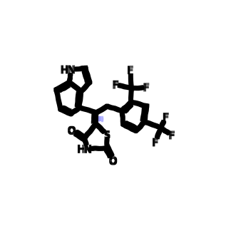 O=C1NC(=O)/C(=C(/Cc2ccc(C(F)(F)F)cc2C(F)(F)F)c2cccc3[nH]ccc23)S1